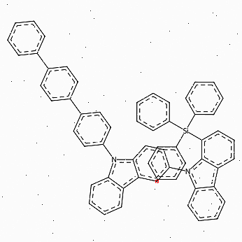 c1ccc(-c2ccc(-c3ccc(-n4c5ccccc5c5cc(-n6c7ccccc7c7cccc([Si](c8ccccc8)(c8ccccc8)c8ccccc8)c76)ccc54)cc3)cc2)cc1